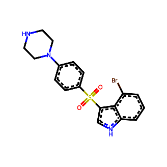 O=S(=O)(c1ccc(N2CCNCC2)cc1)c1c[nH]c2cccc(Br)c12